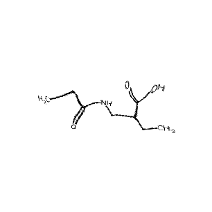 CCC(=O)NCC(CC)C(=O)O